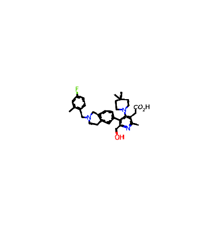 Cc1cc(F)ccc1CN1CCc2cc(-c3c(CO)nc(C)c(CC(=O)O)c3N3CCC(C)(C)CC3)ccc2C1